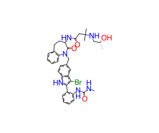 CNC(=O)Nc1ccccc1-c1[nH]c2ccc(CN3C(=O)[C@H](NC(=O)CC(C)(C)NC[C@@H](C)O)CCc4ccccc43)cc2c1Br